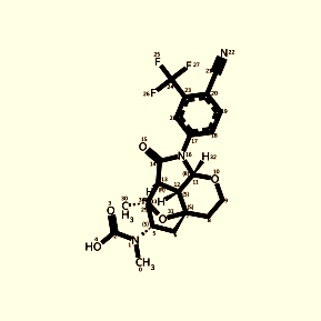 CN(C(=O)O)[C@H]1C[C@]23CCO[C@@H]4[C@H]2[C@@H](C(=O)N4c2ccc(C#N)c(C(F)(F)F)c2)[C@@]1(C)O3